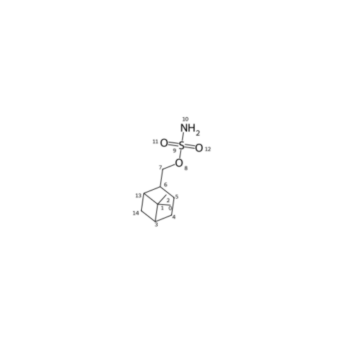 CC1(C)C2CCC(COS(N)(=O)=O)C1C2